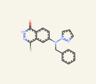 O=c1[nH]nc(Cl)c2cc(N(Cc3ccccc3)n3cccn3)ccc12